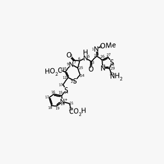 CON=C(C(=O)NC1C(=O)N2C(C(=O)O)=C(CSc3cccc[n+]3CC(=O)O)SCC12)c1csc(N)n1